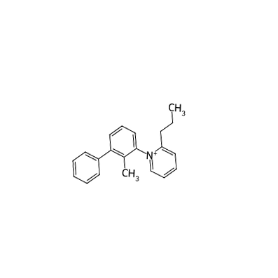 CCCc1cccc[n+]1-c1cccc(-c2ccccc2)c1C